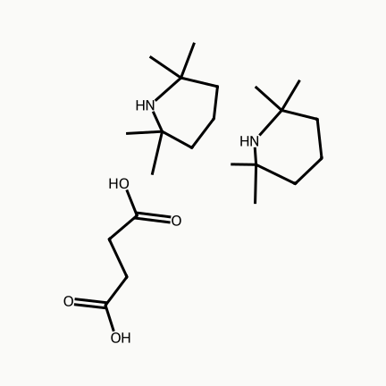 CC1(C)CCCC(C)(C)N1.CC1(C)CCCC(C)(C)N1.O=C(O)CCC(=O)O